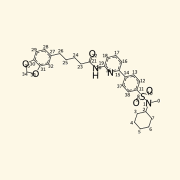 CN(C1CCCCC1)S(=O)(=O)c1ccc(-c2cccc(NC(=O)CCCCc3ccc4c(c3)OCO4)n2)cc1